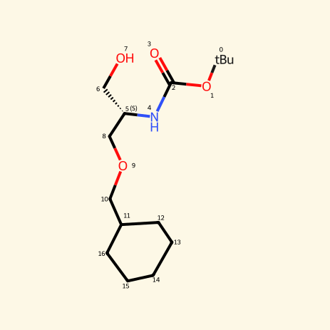 CC(C)(C)OC(=O)N[C@@H](CO)COCC1CCCCC1